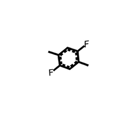 Cc1cc(F)c(C)cc1F